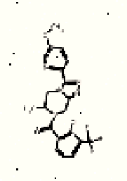 COc1ccc(-c2nnc3n2CC(C)N(C(=O)c2cccc(C(F)(F)F)c2Cl)C3)nc1